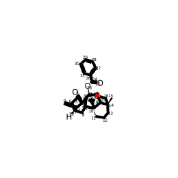 C=C1C(=O)[C@]23CC[C@H]1CC2[C@@]12CCC[C@@](C)(COC1=O)C2C[C@H]3OC(=O)c1ccccc1